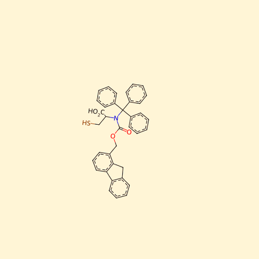 O=C(O)C(CS)N(C(=O)OCc1cccc2c1Cc1ccccc1-2)C(c1ccccc1)(c1ccccc1)c1ccccc1